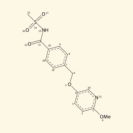 COc1ccc(OCc2ccc(C(=O)NS(C)(=O)=O)cc2)cn1